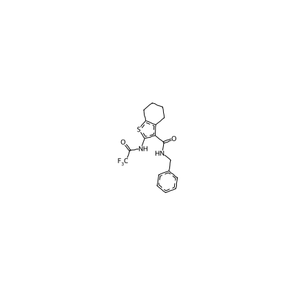 O=C(NCc1ccccc1)c1c(NC(=O)C(F)(F)F)sc2c1CCCC2